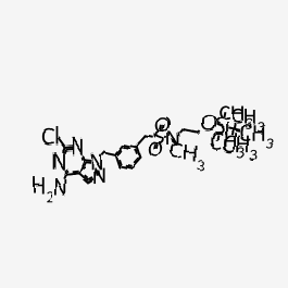 CN(CCO[Si](C)(C)C(C)(C)C)S(=O)(=O)Cc1cccc(Cn2ncc3c(N)nc(Cl)nc32)c1